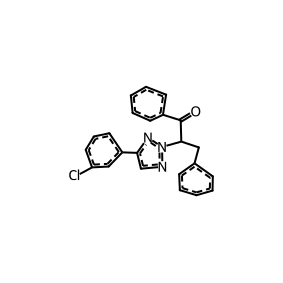 O=C(c1ccccc1)C(Cc1ccccc1)n1ncc(-c2cccc(Cl)c2)n1